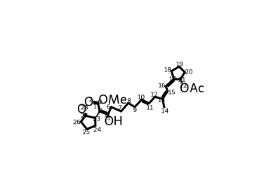 COC(=O)C(=C(O)CCCC/C=C/C/C(C)=C\C=C1\CCC[C@H]1OC(C)=O)[C@H]1CCCC1=O